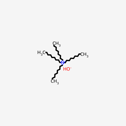 CCCCCCCCC[N+](CCCCCCCCC)(CCCCCCCCC)CCCCCCCCC.[OH-]